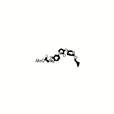 COC(=O)Cn1nc2ccc(N3CC[C@@H](Oc4ccc(OCC5CC5)nc4)C3=O)cc2n1